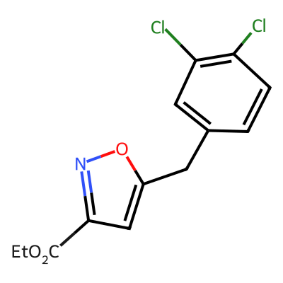 CCOC(=O)c1cc(Cc2ccc(Cl)c(Cl)c2)on1